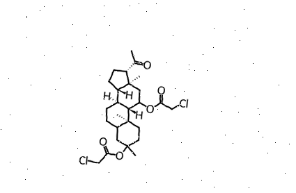 CC(=O)[C@H]1CC[C@H]2[C@@H]3CCC4CC(C)(OC(=O)CCl)CC[C@]4(C)[C@H]3C(OC(=O)CCl)C[C@]12C